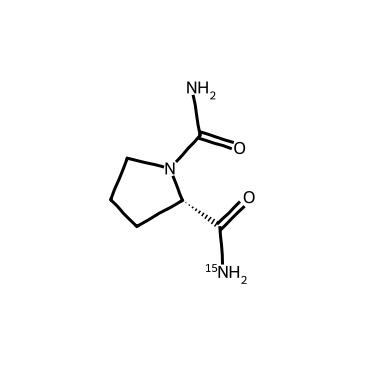 NC(=O)N1CCC[C@H]1C([15NH2])=O